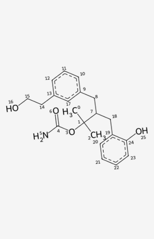 CC(C)(OC(N)=O)C(Cc1cccc(CCO)c1)Cc1ccccc1O